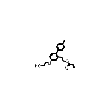 C=CC(=O)OCCc1cc(OCCO)ccc1-c1ccc(C)cc1